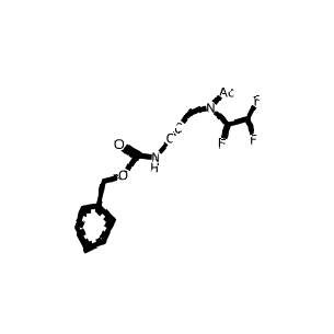 CC(=O)N(CCCNC(=O)OCc1ccccc1)C(F)C(F)F